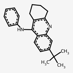 CC(C)(C)c1ccc2c(Nc3ccccc3)c3c(nc2c1)CCCC3